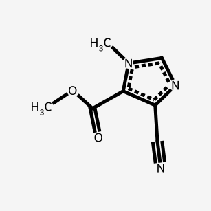 COC(=O)c1c(C#N)ncn1C